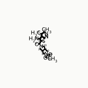 Cc1nnc2sc(C(=O)N3CC4CN(S(C)(=O)=O)CC4C3)c(N)c2c1C